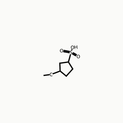 CCC1CCC(S(=O)(=O)O)C1